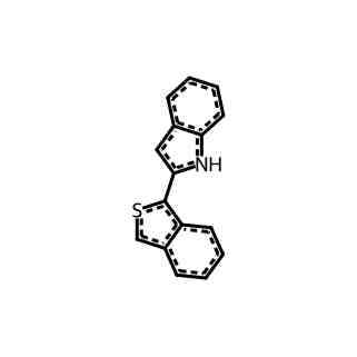 c1ccc2[nH]c(-c3scc4ccccc34)cc2c1